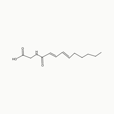 CCCCC/C=C/C=C/C(=O)NCC(=O)O